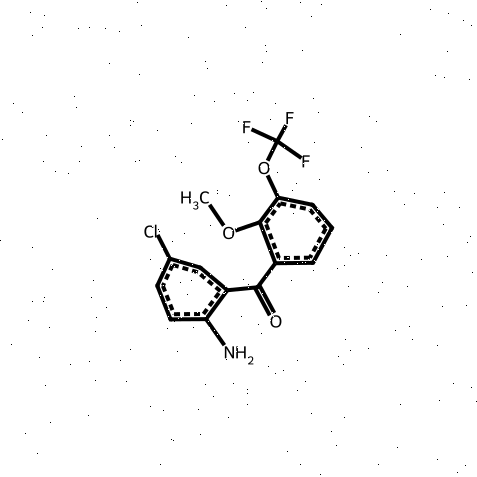 COc1c(OC(F)(F)F)cccc1C(=O)c1cc(Cl)ccc1N